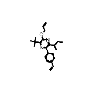 C=CCOc1nc(C(C)CC)c(-c2ccc(C=C)cc2)nc1C(C)(C)C